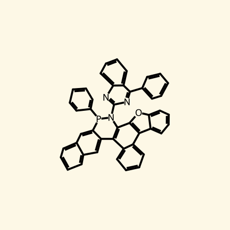 c1ccc(-c2nc(N3c4c(c5ccccc5c5c4oc4ccccc45)-c4cc5ccccc5cc4P3c3ccccc3)nc3ccccc23)cc1